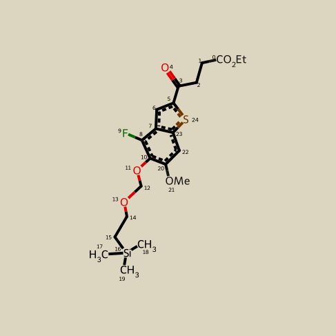 CCOC(=O)CCC(=O)c1cc2c(F)c(OCOCC[Si](C)(C)C)c(OC)cc2s1